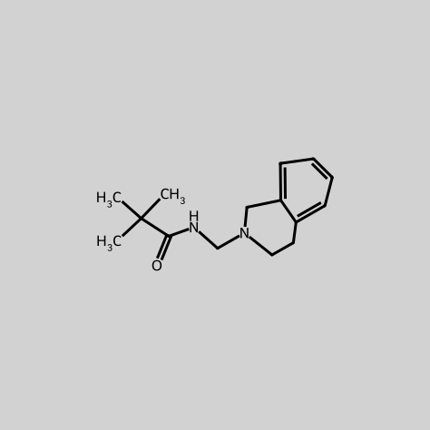 CC(C)(C)C(=O)NCN1CCc2ccccc2C1